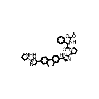 COC(=O)N[C@@H](C(=O)N1CCC[C@H]1c1ncc(-c2ccc(-c3ccc(C4CN=C([C@@H]5CCCN5)N4)cc3C)c(C)c2)[nH]1)c1ccccc1